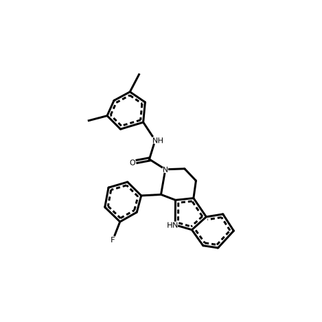 Cc1cc(C)cc(NC(=O)N2CCc3c([nH]c4ccccc34)C2c2cccc(F)c2)c1